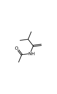 C=C(NC(C)=O)C(C)C